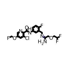 N/C(COCC(F)F)=N/Cc1cc(NC(=O)c2ncc(OCF)cc2Cl)ccc1F